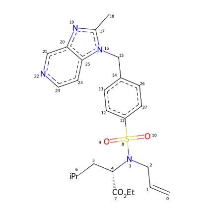 C=CCN([C@@H](CC(C)C)C(=O)OCC)S(=O)(=O)c1ccc(Cn2c(C)nc3cnccc32)cc1